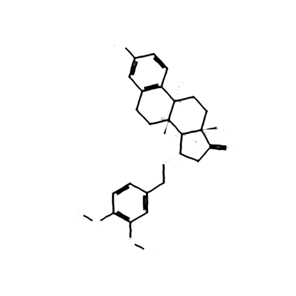 COc1ccc(CC[C@H]2CC(=O)[C@@]3(C)CC[C@@H]4c5ccc(O)cc5CC[C@H]4[C@H]23)cc1OC